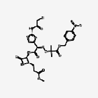 COC(=O)CC[C@H]1NC(=O)[C@H]1NC(=O)C(=NOC(C)(C)C(=O)OCc1ccc([N+](=O)[O-])cc1)c1csc(NC(=O)CCl)n1